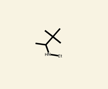 [CH2]CNC(C)C(C)(C)C